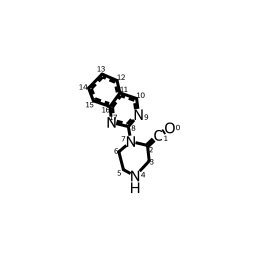 O=C=C1CNCCN1c1ncc2ccccc2n1